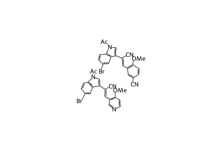 COc1ccc(C#N)cc1C=C(C#N)c1cn(C(C)=O)c2ccc(Br)cc12.COc1ccncc1C=C(C#N)c1cn(C(C)=O)c2ccc(Br)cc12